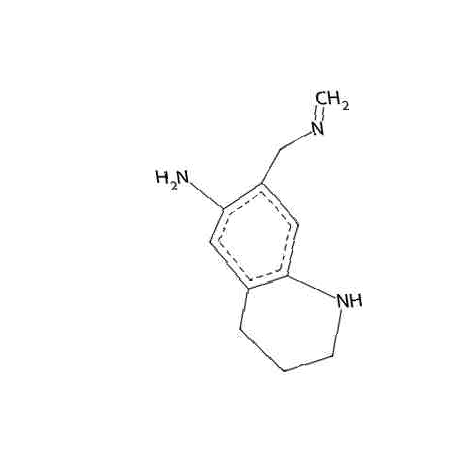 C=NCc1cc2c(cc1N)CCCN2